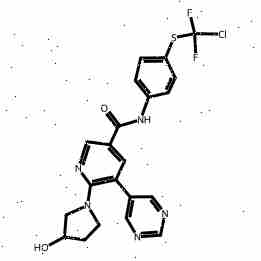 O=C(Nc1ccc(SC(F)(F)Cl)cc1)c1cnc(N2CCC(O)C2)c(-c2cncnc2)c1